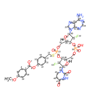 COc1ccc(C(=O)Oc2ccc(CSP3(=O)OC[C@H]4O[C@@H](n5cnc6c(N)ncnc65)C(F)C4OP(=O)(O)OC[C@H]4O[C@@H](n5ccc(=O)[nH]c5=O)C(F)C4O3)cc2)cc1